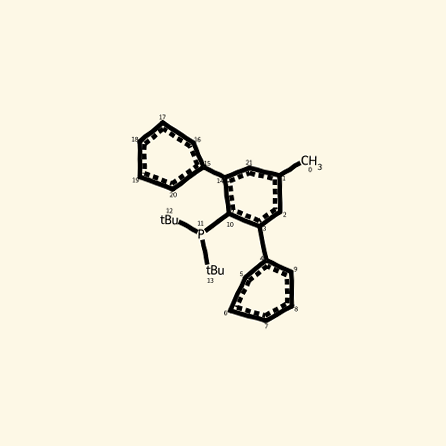 Cc1cc(-c2ccccc2)c(P(C(C)(C)C)C(C)(C)C)c(-c2ccccc2)c1